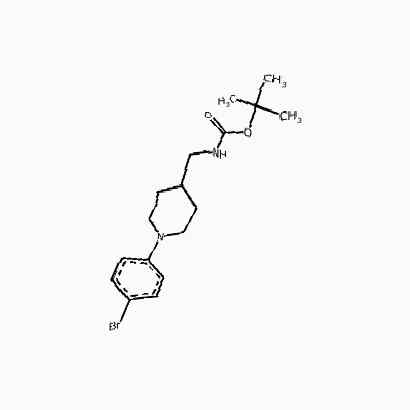 CC(C)(C)OC(=O)NCC1CCN(c2ccc(Br)cc2)CC1